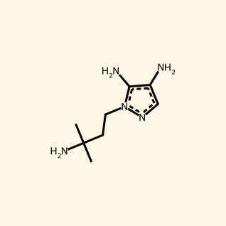 CC(C)(N)CCn1ncc(N)c1N